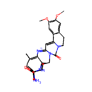 COc1cc2c(cc1OC)-c1c/c(=N/c3c(C)cc(C)cc3C)n(CCNC(N)=O)c(=O)n1CC2